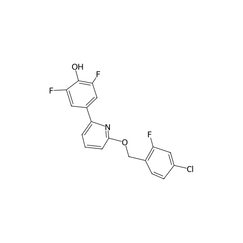 Oc1c(F)cc(-c2cccc(OCc3ccc(Cl)cc3F)n2)cc1F